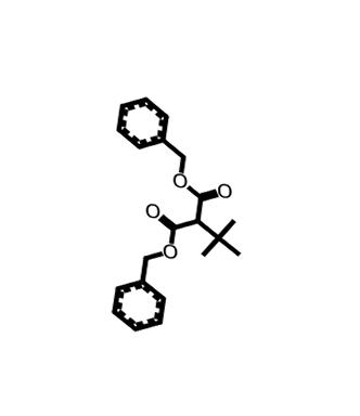 CC(C)(C)C(C(=O)OCc1ccccc1)C(=O)OCc1ccccc1